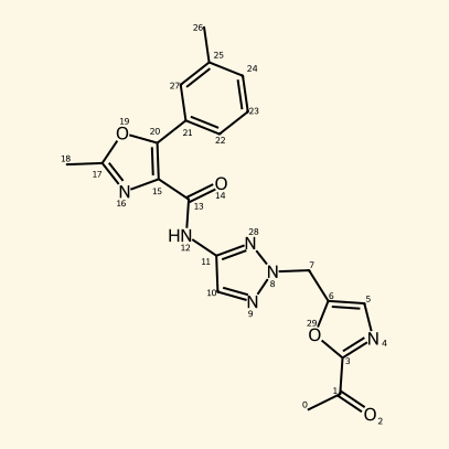 CC(=O)c1ncc(Cn2ncc(NC(=O)c3nc(C)oc3-c3cccc(C)c3)n2)o1